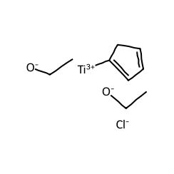 CC[O-].CC[O-].[Cl-].[Ti+3][C]1=CC=CC1